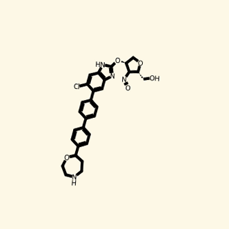 O=NC1[C@@H](CO)OC[C@H]1Oc1nc2cc(-c3ccc(-c4ccc(C5CCNCCO5)cc4)cc3)c(Cl)cc2[nH]1